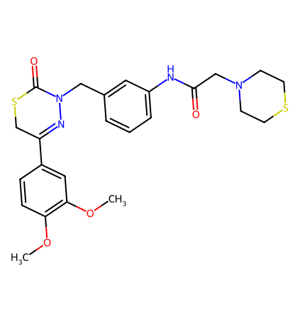 COc1ccc(C2=NN(Cc3cccc(NC(=O)CN4CCSCC4)c3)C(=O)SC2)cc1OC